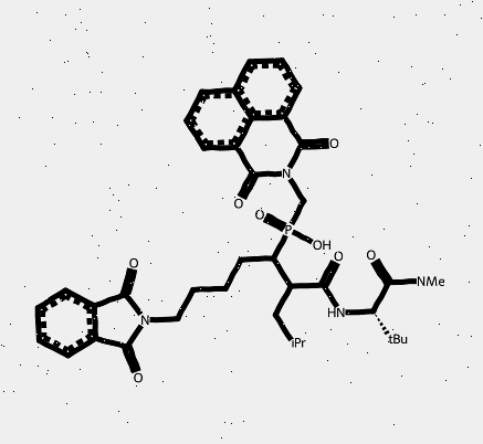 CNC(=O)[C@@H](NC(=O)C(CC(C)C)C(CCCCN1C(=O)c2ccccc2C1=O)P(=O)(O)CN1C(=O)c2cccc3cccc(c23)C1=O)C(C)(C)C